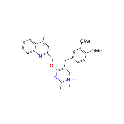 COc1ccc(CC2=C(OCc3cc(C)c4ccccc4n3)N=C(C)[N+](C)(C)[CH]2)cc1OC